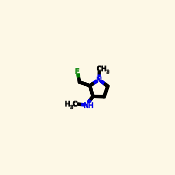 CNC1CCN(C)C1CF